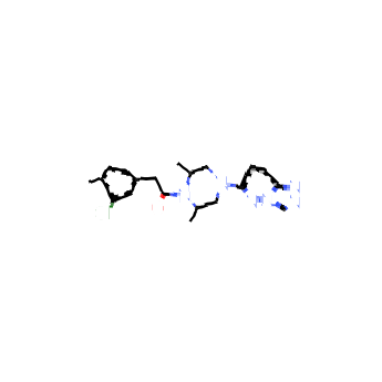 Cc1ccc(CC(=O)N2C(C)CN(c3ccc4nncn4n3)CC2C)cc1Cl